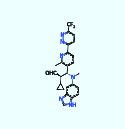 Cc1nc(-c2ccc(C(F)(F)F)nn2)ccc1[C@@H]([C@H](C=O)C1CC1)N(C)c1ccc2[nH]cnc2c1